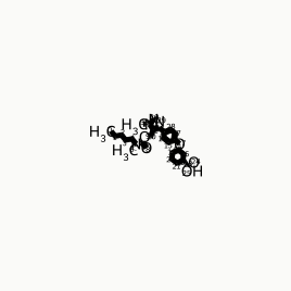 CCCCCN(C)C(=O)OCc1c(-c2ccc(O[C@H]3CCC[C@H](C(=O)O)C3)cc2)nnn1C